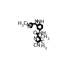 Cc1c(C#N)cnc(C(=O)Nc2ccc3[nH]nc(-c4cnn(C)c4)c3c2)c1C